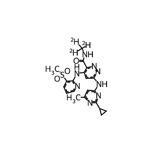 [2H]C([2H])([2H])NC(=O)c1nnc(Nc2cc(C)nc(C3CC3)n2)cc1Nc1ncccc1S(C)(=O)=O